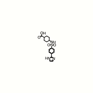 O=C(O)C1CCC(NS(=O)(=O)c2ccc(-c3ncc[nH]3)cc2)CC1